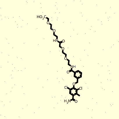 Cc1c(C(N)=O)cc(Cl)c(OCc2cccc(C(=O)NCCOCCOCC(=O)NCCOCCOCC(=O)O)c2)c1Cl